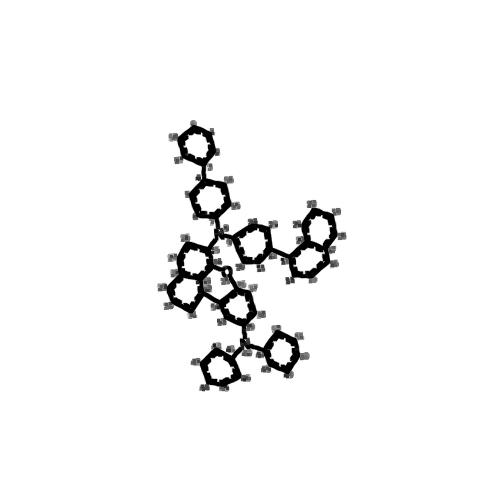 c1ccc(-c2ccc(N(c3ccc(-c4cccc5ccccc45)cc3)c3ccc4cccc5c4c3Oc3ccc(N(c4ccccc4)c4ccccc4)cc3-5)cc2)cc1